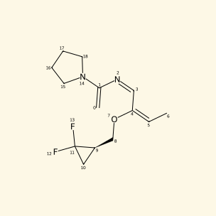 C=C(/N=C\C(=C/C)OC[C@H]1CC1(F)F)N1CCCC1